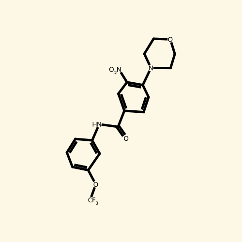 O=C(Nc1cccc(OC(F)(F)F)c1)c1ccc(N2CCOCC2)c([N+](=O)[O-])c1